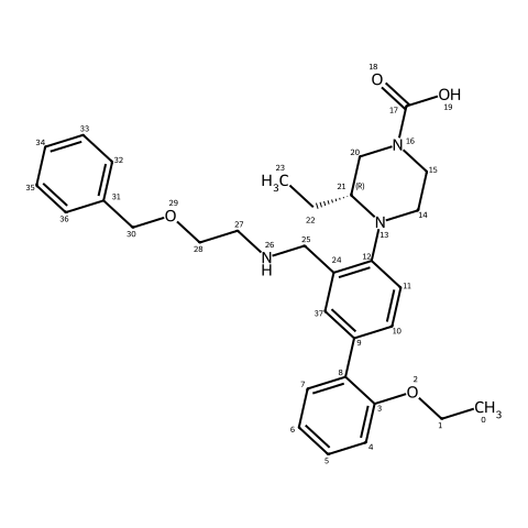 CCOc1ccccc1-c1ccc(N2CCN(C(=O)O)C[C@H]2CC)c(CNCCOCc2ccccc2)c1